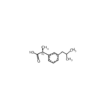 CC(C)Cc1cccc([C@H](C)C(=O)O)c1